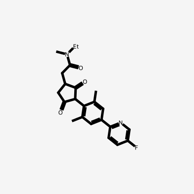 CCN(C)C(=O)CC1CC(=O)C(c2c(C)cc(-c3ccc(F)cn3)cc2C)C1=O